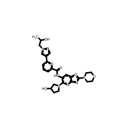 CC(O)Cn1cc(-c2cccc(C(=O)Nc3cc4oc(N5CCOCC5)nc4nc3N3CCC(O)C3)n2)cn1